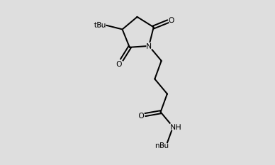 CCCCNC(=O)CCCN1C(=O)CC(C(C)(C)C)C1=O